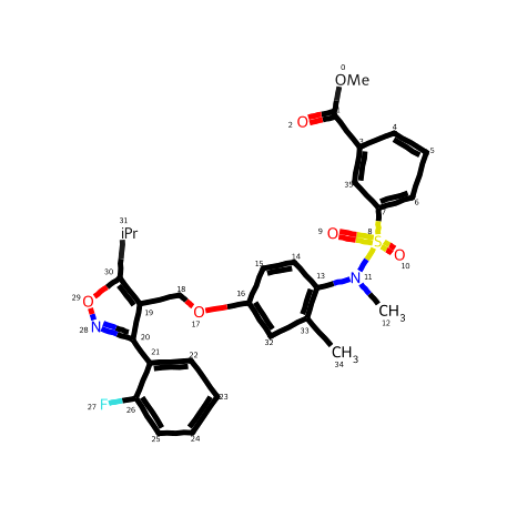 COC(=O)c1cccc(S(=O)(=O)N(C)c2ccc(OCc3c(-c4ccccc4F)noc3C(C)C)cc2C)c1